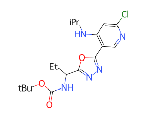 CCC(NC(=O)OC(C)(C)C)c1nnc(-c2cnc(Cl)cc2NC(C)C)o1